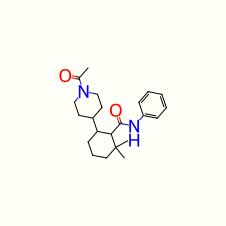 CC(=O)N1CCC(C2CCCC(C)(C)C2C(=O)Nc2ccccc2)CC1